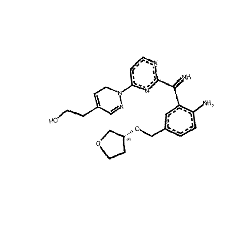 N=C(c1nccc(N2CC=C(CCO)C=N2)n1)c1cc(CO[C@@H]2CCOC2)ccc1N